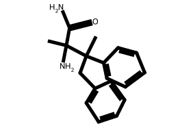 CC(N)(C(N)=O)C(C)(Cc1ccccc1)c1ccccc1